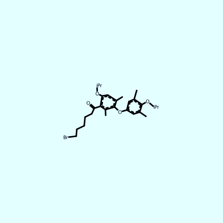 Cc1cc(Oc2c(C)cc(OC(C)C)c(C(=O)CCCCCBr)c2C)cc(C)c1OC(C)C